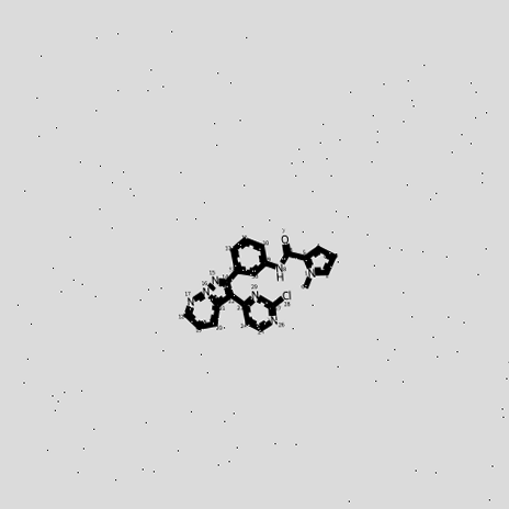 Cn1cccc1C(=O)Nc1cccc(-c2nn3ncccc3c2-c2ccnc(Cl)n2)c1